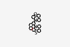 c1ccc(N(c2cc(N(c3ccccc3)c3cccc4sc5ccccc5c34)c3c(ccc4ccccc43)c2)c2cccc3oc4ccccc4c23)cc1